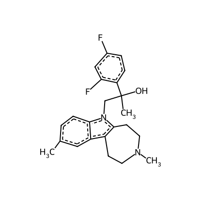 Cc1ccc2c(c1)c1c(n2CC(C)(O)c2ccc(F)cc2F)CCN(C)CC1